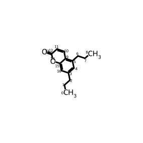 CCCc1cc(CCC)c2ccc(=O)oc2c1